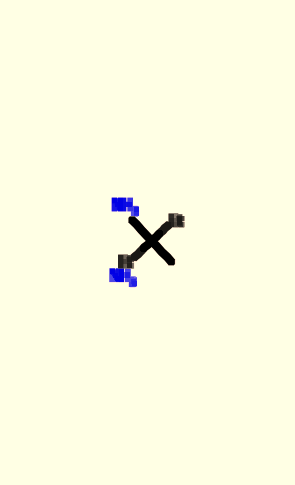 CCC(C)(C)CC.N.N